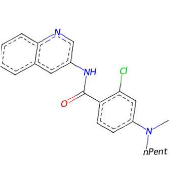 CCCCCN(C)c1ccc(C(=O)Nc2cnc3ccccc3c2)c(Cl)c1